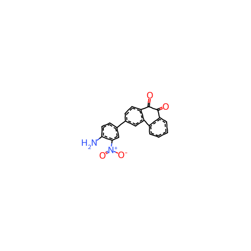 Nc1ccc(-c2ccc3c(c2)-c2ccccc2C(=O)C3=O)cc1[N+](=O)[O-]